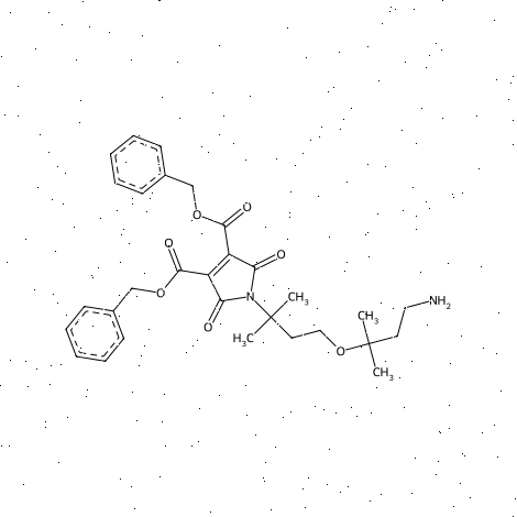 CC(C)(CCN)OCCC(C)(C)N1C(=O)C(C(=O)OCc2ccccc2)=C(C(=O)OCc2ccccc2)C1=O